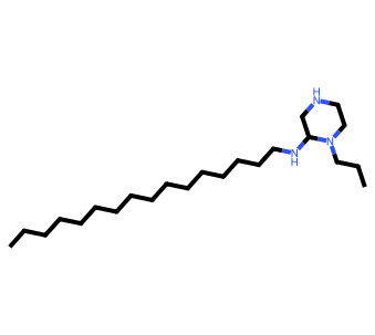 CCCCCCCCCCCCCCCCNC1CNCCN1CCC